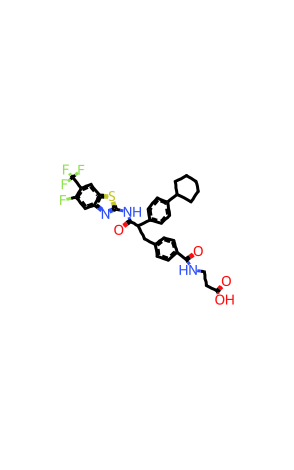 O=C(O)CCNC(=O)c1ccc(CC(C(=O)Nc2nc3cc(F)c(C(F)(F)F)cc3s2)c2ccc(C3CCCCC3)cc2)cc1